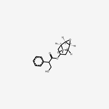 C[N+]1([O-])[C@H]2CC(OC(=O)C(CO)c3ccccc3)C[C@H]1[C@H]1O[C@H]12